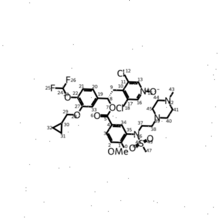 COc1ccc(C(=O)O[C@@H](Cc2c(Cl)c[n+]([O-])cc2Cl)c2ccc(OC(F)F)c(OCC3CC3)c2)cc1N(CCN1CCN(C)CC1)S(C)(=O)=O